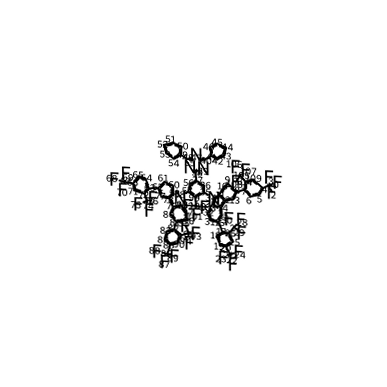 FC(F)(F)c1ccc(-c2ccc3c(c2)c2cc(-c4ccc(C(F)(F)F)cc4C(F)(F)F)ccc2n3-c2cc(-c3nc(-c4ccccc4)nc(-c4ccccc4)n3)cc(-n3c4ccc(-c5ccc(C(F)(F)F)cc5C(F)(F)F)cc4c4cc(-c5ccc(C(F)(F)F)cc5C(F)(F)F)ccc43)c2C(F)(F)F)c(C(F)(F)F)c1